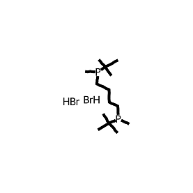 Br.Br.CP(CCCCP(C)C(C)(C)C)C(C)(C)C